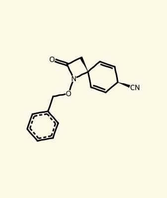 N#C[C@H]1C=C[C@]2(C=C1)CC(=O)N2OCc1ccccc1